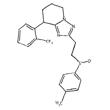 Cc1ccc([S+]([O-])CCc2nc3n(n2)CCCC3c2ccccc2C(F)(F)F)cc1